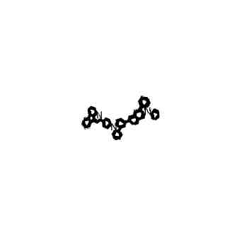 c1ccc(-n2c3ccccc3c3cc4cc(-c5ccc6c(c5)c5ccccc5n6-c5ccc(-c6cc7c8c(cccc8n6)-c6ccccc6-7)cc5)ccc4cc32)cc1